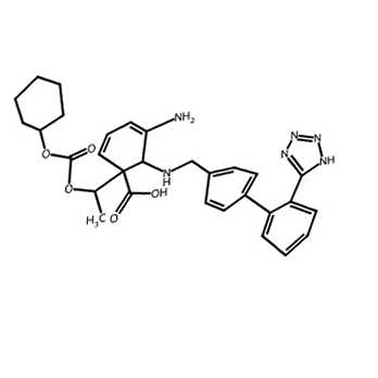 CC(OC(=O)OC1CCCCC1)C1(C(=O)O)C=CC=C(N)C1NCc1ccc(-c2ccccc2-c2nnn[nH]2)cc1